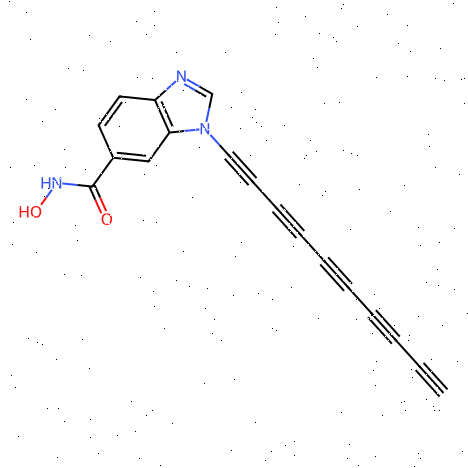 C#CC#CC#CC#CC#Cn1cnc2ccc(C(=O)NO)cc21